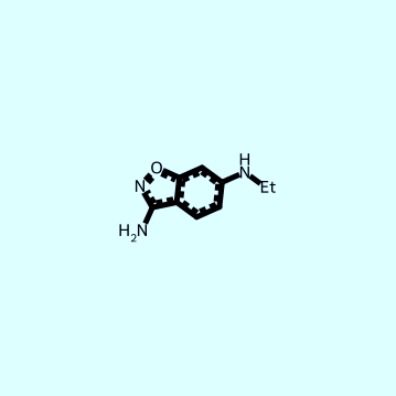 CCNc1ccc2c(N)noc2c1